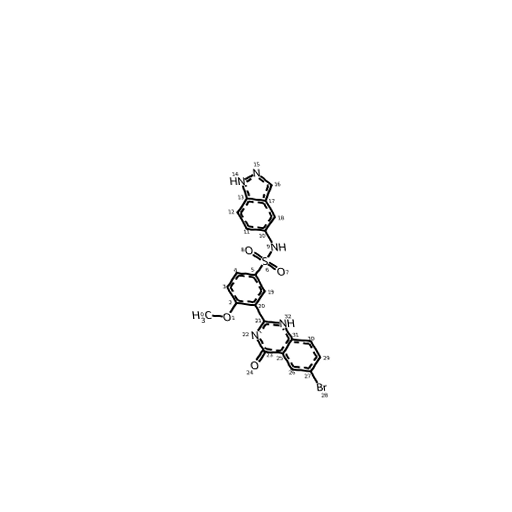 COc1ccc(S(=O)(=O)Nc2ccc3[nH]ncc3c2)cc1-c1nc(=O)c2cc(Br)ccc2[nH]1